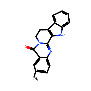 Cc1ccc2nc3n(c(=O)c2c1)CCc1c-3[nH]c2ccccc12